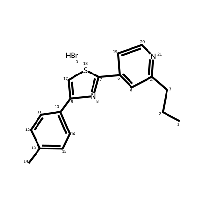 Br.CCCc1cc(-c2nc(-c3ccc(C)cc3)cs2)ccn1